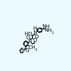 Cc1c(C(=O)N2CCCC2)cccc1N1CCO[C@H]([C@@H](O)C(=O)Nc2ccc(C(=N)N)cc2)C1=O